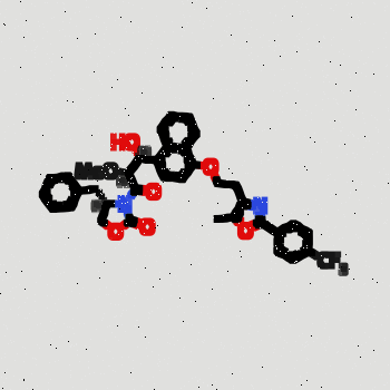 CO[C@H](C(=O)N1C(=O)OC[C@@H]1Cc1ccccc1)[C@H](O)c1ccc(OCCc2nc(-c3ccc(C(F)(F)F)cc3)oc2C)c2ccccc12